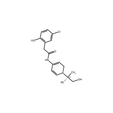 C[C@@](C#N)(CO)N1C=CC(NC(=O)Cc2cc(Cl)ccc2O)=CC1